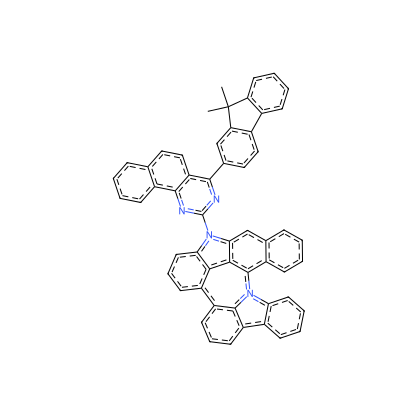 CC1(C)c2ccccc2-c2ccc(-c3nc(-n4c5cccc6c7cccc8c9ccccc9n(c78)c7c8ccccc8cc4c7c65)nc4c3ccc3ccccc34)cc21